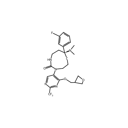 CN(C)[C@@]1(c2cccc(F)c2)CCCN(c2cnc(C(F)(F)F)nc2OCC2COC2)C(=O)NCC1